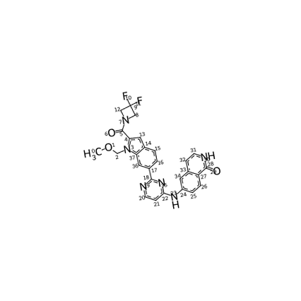 COCn1c(C(=O)N2CC(F)(F)C2)cc2ccc(-c3nccc(Nc4ccc5c(=O)[nH]ccc5c4)n3)cc21